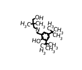 CC(C)(CO)CN=Cc1cc(C(C)(C)C)cc(C(C)(C)C)c1O